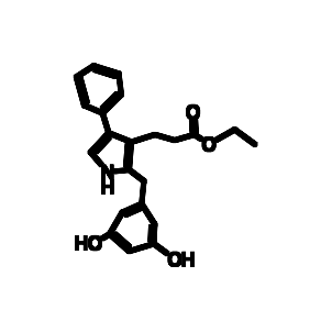 CCOC(=O)CCc1c(-c2ccccc2)c[nH]c1Cc1cc(O)cc(O)c1